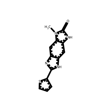 Cn1c(=O)[nH]c2cc3[nH]c(-c4cccs4)nc3cc21